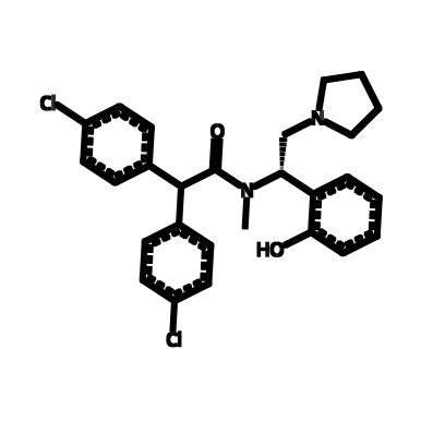 CN(C(=O)C(c1ccc(Cl)cc1)c1ccc(Cl)cc1)[C@H](CN1CCCC1)c1ccccc1O